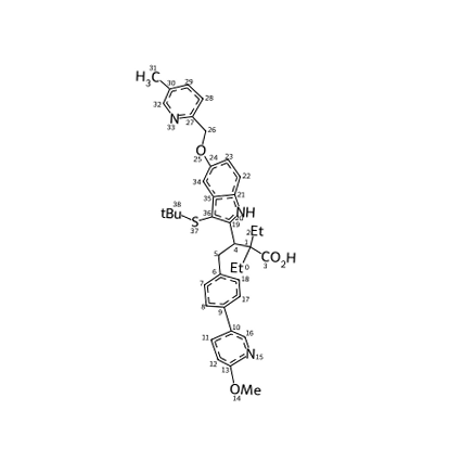 CCC(CC)(C(=O)O)C(Cc1ccc(-c2ccc(OC)nc2)cc1)c1[nH]c2ccc(OCc3ccc(C)cn3)cc2c1SC(C)(C)C